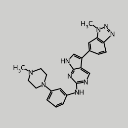 CN1CCN(c2cccc(Nc3ncc4c(-c5ccc6nnn(C)c6c5)c[nH]c4n3)c2)CC1